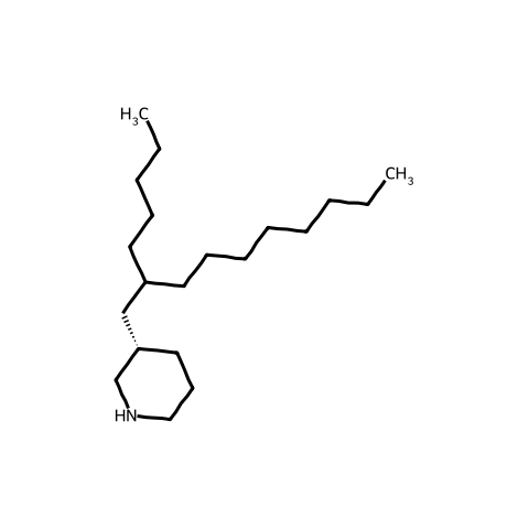 CCCCCCCCC(CCCCC)C[C@@H]1CCCNC1